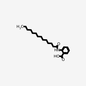 CCCCCCCCCCCCCC(=O)Nc1ccccc1C(=O)O